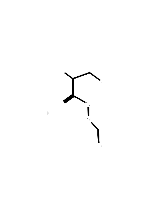 CC(CCl)C(=O)NNCO.Cl